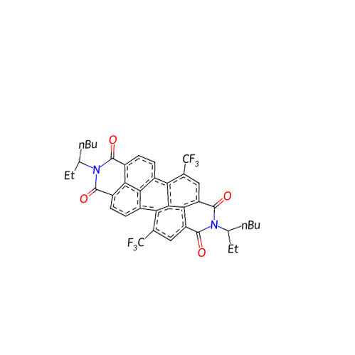 CCCCC(CC)N1C(=O)c2ccc3c4c(C(F)(F)F)cc5c6c(cc(C(F)(F)F)c(c7ccc(c2c37)C1=O)c64)C(=O)N(C(CC)CCCC)C5=O